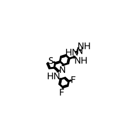 N=NNC(=N)c1ccc2c(c1)nc(Nc1cc(F)cc(F)c1)c1ccsc12